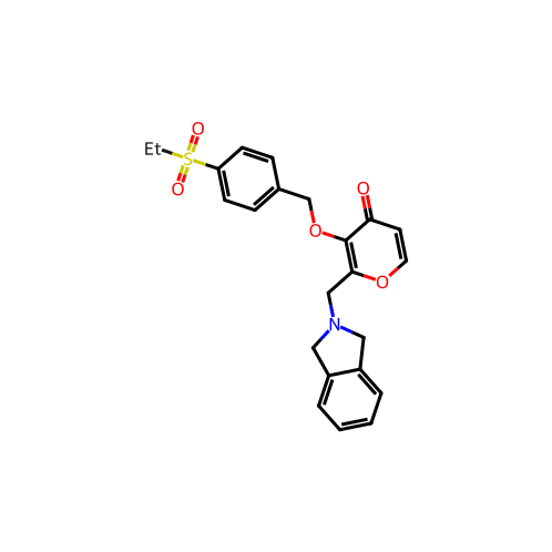 CCS(=O)(=O)c1ccc(COc2c(CN3Cc4ccccc4C3)occc2=O)cc1